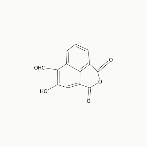 O=Cc1c(O)cc2c3c(cccc13)C(=O)OC2=O